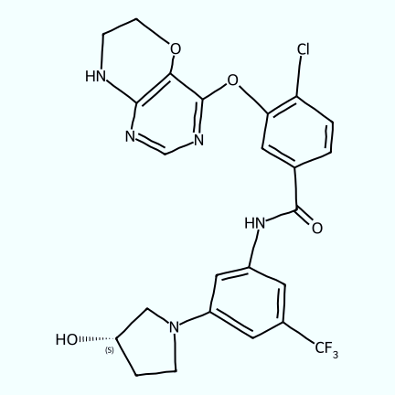 O=C(Nc1cc(N2CC[C@H](O)C2)cc(C(F)(F)F)c1)c1ccc(Cl)c(Oc2ncnc3c2OCCN3)c1